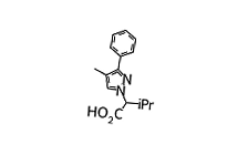 Cc1cn(C(C(=O)O)C(C)C)nc1-c1ccccc1